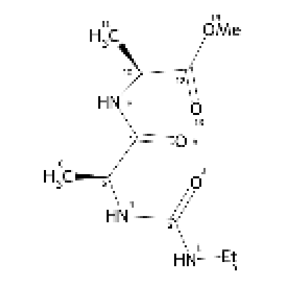 CCNC(=O)N[C@@H](C)C(=O)N[C@@H](C)C(=O)OC